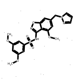 COc1cc(OC)cc(S(=O)(=O)Nc2noc3cc(Cn4cccn4)cc(OC)c23)c1